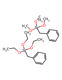 CCO[Si](Cc1ccccc1)(OCC)OCC.CO[Si](Cc1ccccc1)(OC)OC